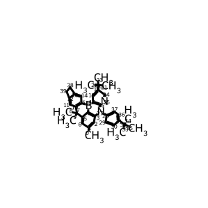 Cc1cc2c3c(c1)C(C)(C)c1cc4c(cc1B3c1cc(C(C)(C)C)cnc1N2c1ccc(C(C)(C)C)cc1)CC4